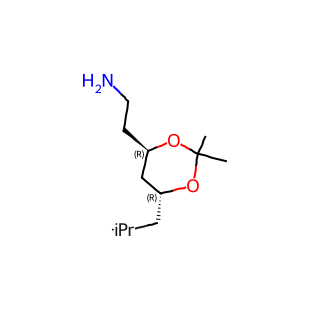 C[C](C)C[C@@H]1C[C@@H](CCN)OC(C)(C)O1